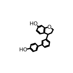 Oc1ccc(-c2cccc(C3CCOc4cc(O)ccc43)c2)cc1